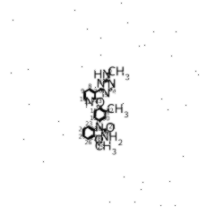 CNc1ncnc(-c2cccnc2Oc2ccc(N(C(N)=O)c3ccccc3OC)cc2C)n1